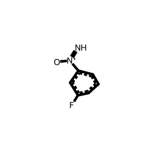 N=[N+]([O-])c1cccc(F)c1